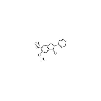 COc1cc2c(cc1OC)C(=O)C(C1=CCCC=C1)C2